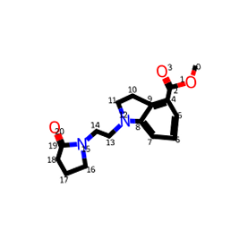 COC(=O)c1cccc2c1CCN2CCN1CCCC1=O